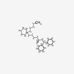 CCCCCC1(CCCCC(F)CC(c2ccccc2)c2ccccc2)CCCCC1